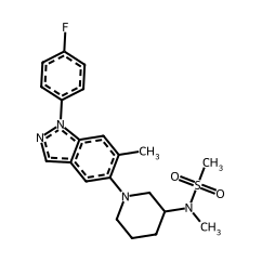 Cc1cc2c(cnn2-c2ccc(F)cc2)cc1N1CCCC(N(C)S(C)(=O)=O)C1